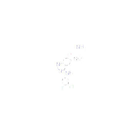 NCCOc1cc2ncnc(Nc3ccc(F)c(Cl)c3)c2cc1[N+](=O)[O-]